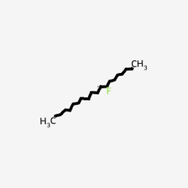 CCCCCCCCCCC[CH]C(F)CCCCCCC